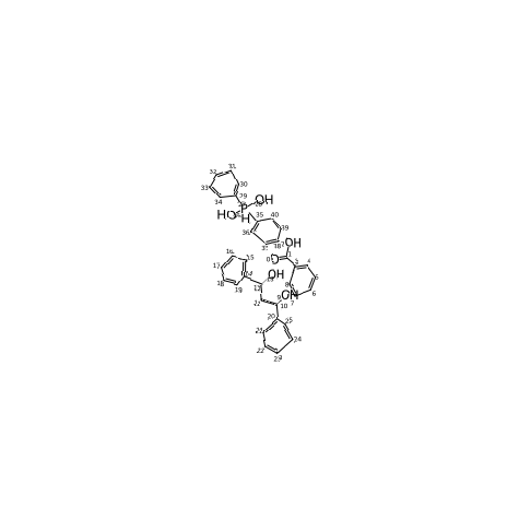 O=C(O)c1ccccc1.OC(CC(O)c1ccccc1)c1ccccc1.O[PH](O)(c1ccccc1)c1ccccc1